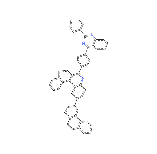 c1ccc(-c2nc(-c3ccc(-c4nc5ccc(-c6ccc7ccc8ccccc8c7c6)cc5c5c4ccc4ccccc45)cc3)c3ccccc3n2)cc1